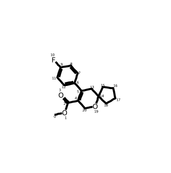 COC(=O)C1=C(c2ccc(F)cc2)CC2(CCCC2)OC1